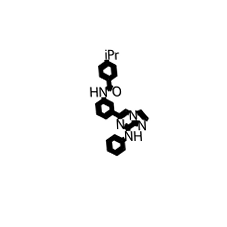 CC(C)c1ccc(C(=O)Nc2cccc(-c3cn4ccnc4c(Nc4ccccc4)n3)c2)cc1